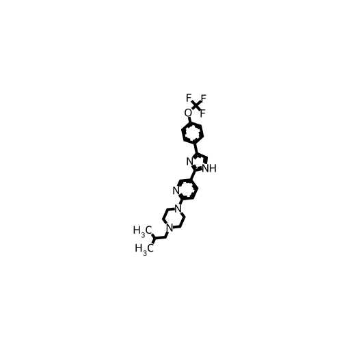 CC(C)CN1CCN(c2ccc(-c3nc(-c4ccc(OC(F)(F)F)cc4)c[nH]3)cn2)CC1